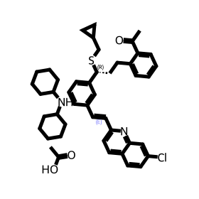 C1CCC(NC2CCCCC2)CC1.CC(=O)O.CC(=O)c1ccccc1CC[C@@H](SCC1CC1)c1cccc(/C=C/c2ccc3ccc(Cl)cc3n2)c1